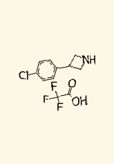 Clc1ccc(C2CNC2)cc1.O=C(O)C(F)(F)F